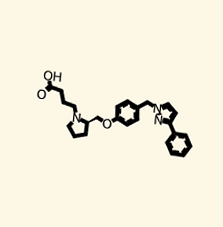 O=C(O)CCCN1CCC[C@@H]1COc1ccc(Cn2ccc(-c3ccccc3)n2)cc1